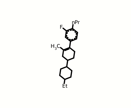 CCCc1ccc(C2=C(C)CC(C3CCC(CC)CC3)CC2)cc1F